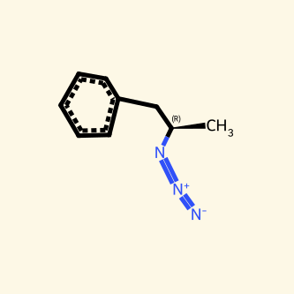 C[C@H](Cc1ccccc1)N=[N+]=[N-]